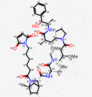 CC[C@H](C)[C@@H]([C@@H](CC(=O)N1CCC[C@H]1[C@H](OC)[C@@H](C)C(=O)N[C@H](C)[C@@H](O)c1ccccc1)OC)N(C)C(=O)[C@@H](NC(=O)[C@@H]1C2CC[C@@H](C2)N1C(=O)CCCCCN1C(=O)C=CC1=O)C(C)C